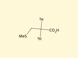 [2H]C([2H])(CSC)C(=O)O